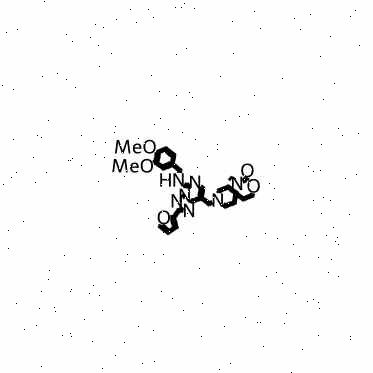 COc1ccc(CNc2ncc(CN3CCC4(CCOC(=O)N4C)CC3)c3nc(-c4ccco4)nn23)cc1OC